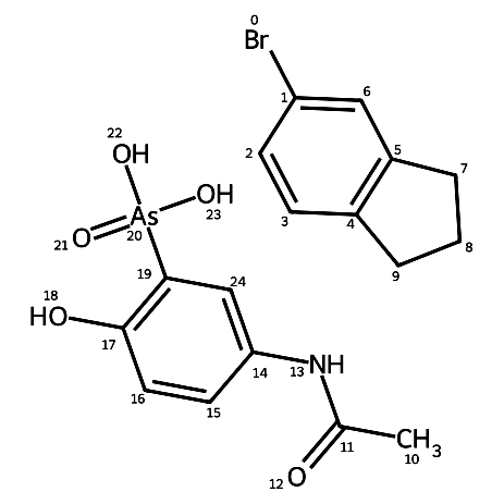 Brc1ccc2c(c1)CCC2.CC(=O)Nc1ccc(O)c([As](=O)(O)O)c1